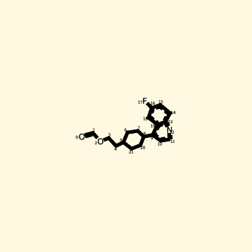 O=COCCC1CCC(c2ccnc3ccc(F)cc23)CC1